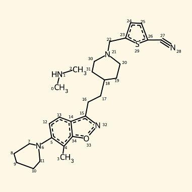 CNC.Cc1c(N2CCCCC2)ccc2c(CCC3CCN(Cc4ccc(C#N)s4)CC3)noc12